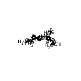 CC(C)(C)CNC(=O)c1cccc(-c2ccc3nc(Nc4ccc(C(=O)NC(C)(C)CO)cc4OCC(F)(F)F)nn3c2)c1